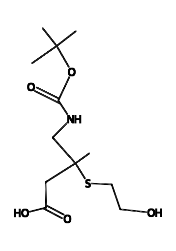 CC(C)(C)OC(=O)NCC(C)(CC(=O)O)SCCO